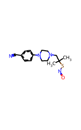 CC(C)(CN1CCN(c2ccc(C#N)cc2)CC1)SN=O